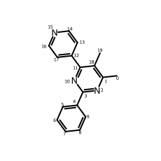 Cc1nc(-c2ccccc2)nc(-c2ccncc2)c1C